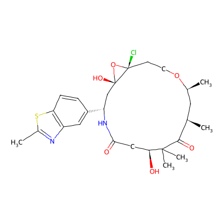 Cc1nc2cc([C@@H]3C[C@]4(O)O[C@]4(Cl)CCO[C@@H](C)C[C@@H](C)C(=O)C(C)(C)[C@@H](O)CC(=O)N3)ccc2s1